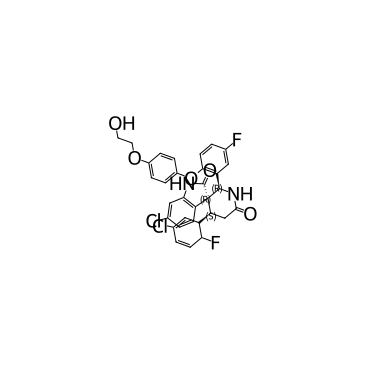 O=C1C[C@@H](C2C=C(Cl)C=CC2F)[C@]2(C(=O)Nc3cc(Cl)ccc32)[C@@H](c2cc(F)ccc2Oc2ccc(OCCO)cc2)N1